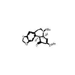 CCCCN1CCc2cc3c(cc2[C@@H]2C(=O)C(OC)=C[C@@H]21)OCO3